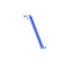 N=N/N=N/N=N/N=N/N=N/N=N/N=N/N=N/N=N/N=N/N=N/N=N/N=N/N